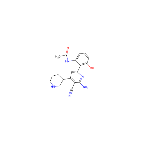 CC(=O)Nc1cccc(O)c1-c1cc(C2CCCNC2)c(C#N)c(N)n1